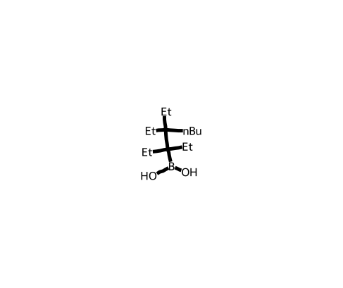 CCCCC(CC)(CC)C(CC)(CC)B(O)O